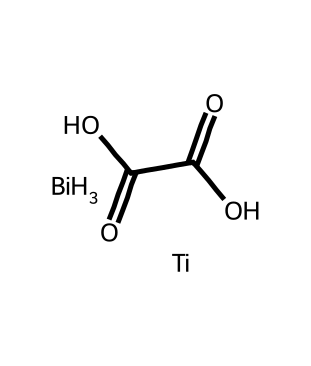 O=C(O)C(=O)O.[BiH3].[Ti]